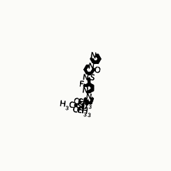 CC(C)(C)[Si](C)(C)O[C@H]1CCN(c2ccc(-c3nc4c(s3)C(=O)N(c3cccnc3)CC4)c(F)n2)C1